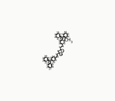 CC1CC(/C=C/C(=O)CC(=O)/C=C/c2ccc(N(c3ccccc3)c3ccccc3)cc2)=CC=C1N(C1=CC=CCC1)c1ccccc1